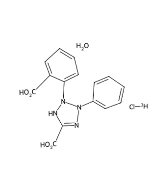 O.O=C(O)C1=NN(c2ccccc2)N(c2ccccc2C(=O)O)N1.[3H]Cl